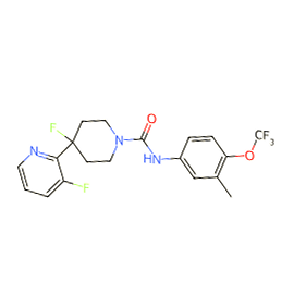 Cc1cc(NC(=O)N2CCC(F)(c3ncccc3F)CC2)ccc1OC(F)(F)F